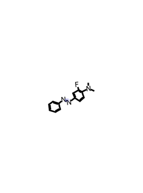 CN(C)c1ccc(/N=N/c2ccccc2)cc1F